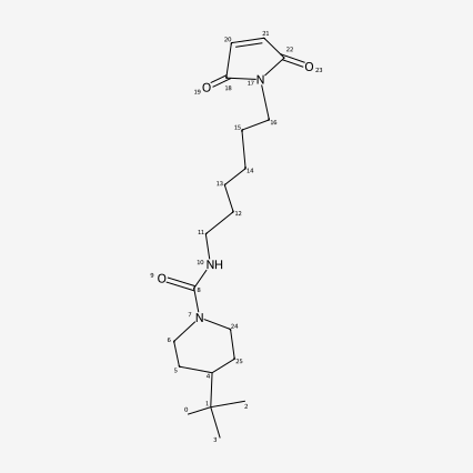 CC(C)(C)C1CCN(C(=O)NCCCCCCN2C(=O)C=CC2=O)CC1